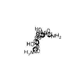 Nc1ccn(O[C@H]2C=C[C@@H](O[PH](=O)O[C@@H]3C=C[C@H](On4ccc(N)nc4=O)[C@H](CO)O3)O[C@H]2CO)c(=O)n1